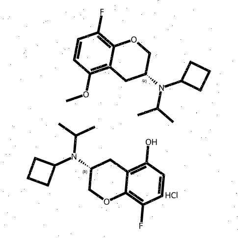 CC(C)N(C1CCC1)[C@H]1COc2c(F)ccc(O)c2C1.COc1ccc(F)c2c1C[C@@H](N(C(C)C)C1CCC1)CO2.Cl